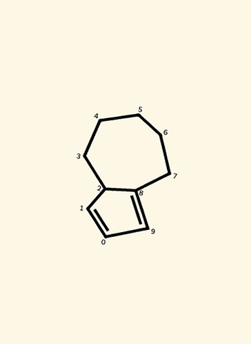 C1=CC2CCCCCC2=C1